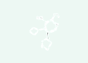 Cc1ncc([C@H]2CCOC2)c(C2CCC2)c1N